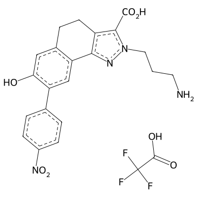 NCCCn1nc2c(c1C(=O)O)CCc1cc(O)c(-c3ccc([N+](=O)[O-])cc3)cc1-2.O=C(O)C(F)(F)F